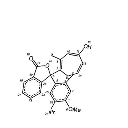 COc1cc(C)c(C2(C3=C(C)C=C(O)C=CC3)OC(=O)c3ccccc32)cc1C(C)C